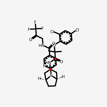 CC(C)(Oc1ccc(Cl)cc1Cl)C(=O)N[C@H]1C[C@H]2CC[C@@H](C1)N2c1ccc(C(=O)NCC(=O)C(F)(F)F)cn1